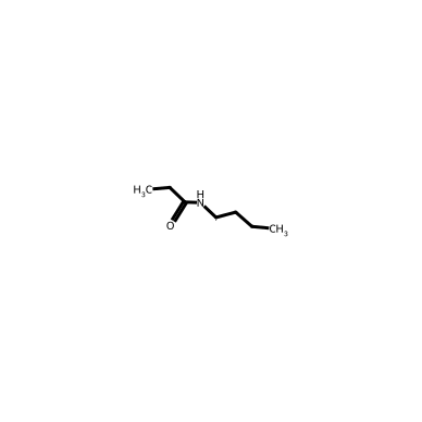 CCC[CH]NC(=O)CC